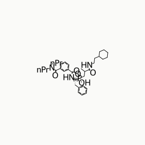 CCCN(CCC)C(=O)c1cccc(C(=O)N[C@@H](Cc2ccccc2)P(=O)(O)CC(C)C(=O)NCCC2CCCCC2)c1